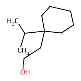 CC(C)C1(CCO)CCCCC1